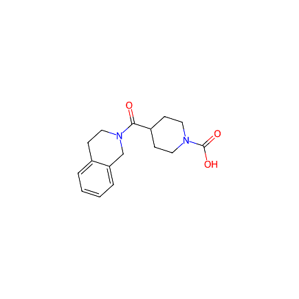 O=C(O)N1CCC(C(=O)N2CCc3ccccc3C2)CC1